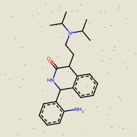 CC(C)N(CCC1C(=O)NC(c2ccccc2N)c2ccccc21)C(C)C